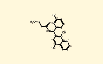 CCCC(=O)NC(c1cccc(Cl)c1)c1cc(Cl)c2cccnc2c1O